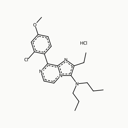 CCCN(CCC)c1c(CC)nc2c(-c3ccc(OC)cc3Cl)nccn12.Cl